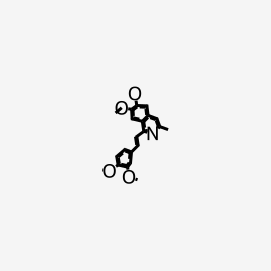 COc1ccc(C=Cc2nc(C)cc3cc(OC)c(OC)cc23)cc1OC